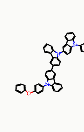 c1ccc(Oc2ccc(-n3c4ccccc4c4cc(-c5ccc6c(c5)c5ccccc5n6-c5ccc6c(c5)c5ccccc5n6-c5ccccc5)ccc43)cc2)cc1